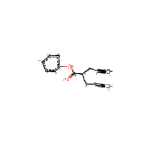 C#CCC(CC#C)C(=O)Oc1ccccc1